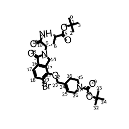 CC(C)(C)OC(=O)CC[C@@H](C(N)=O)N1Cc2c(ccc(Br)c2OCC2=CCN(C(=O)OC(C)(C)C)CC2)C1=O